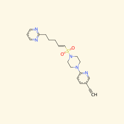 C#Cc1ccc(N2CCN(S(=O)(=O)C=CCCCc3ncccn3)CC2)nc1